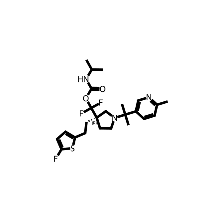 Cc1ccc(C(C)(C)N2CC[C@@](CCc3ccc(F)s3)(C(F)(F)OC(=O)NC(C)C)C2)cn1